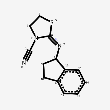 N#CN1CCS/C1=N/C1CCc2ccccc21